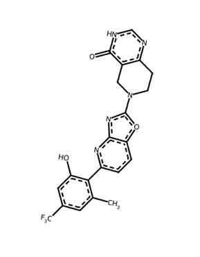 Cc1cc(C(F)(F)F)cc(O)c1-c1ccc2oc(N3CCc4nc[nH]c(=O)c4C3)nc2n1